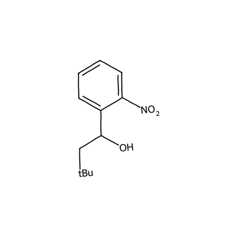 CC(C)(C)CC(O)c1ccccc1[N+](=O)[O-]